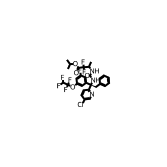 CC(C)OC(=O)C(F)(F)C(C)NC(=O)N[C@@](Cc1ccccc1)(c1cc(F)cc(OC(F)(F)C(F)F)c1)c1ccc(Cl)cn1